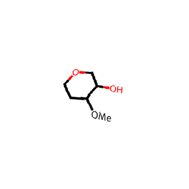 COC1CCOCC1O